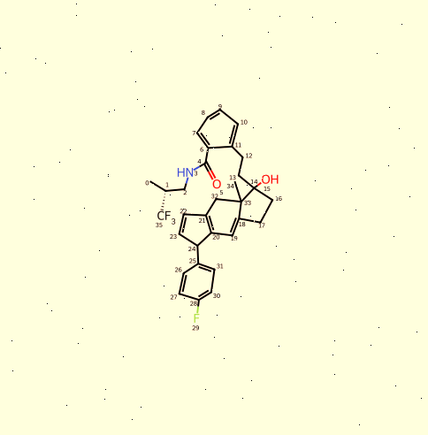 C[C@H](CNC(=O)c1ccccc1CCC1(O)CCC2=CC3=C(C=CC3c3ccc(F)cc3)CC21C)C(F)(F)F